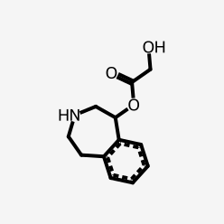 O=C(CO)OC1CNCCc2ccccc21